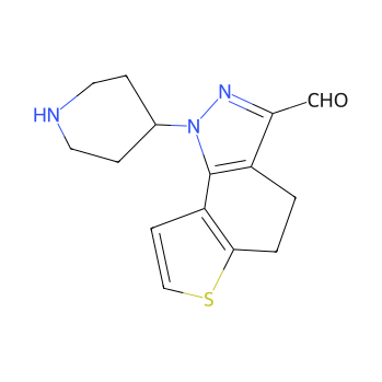 O=Cc1nn(C2CCNCC2)c2c1CCc1sccc1-2